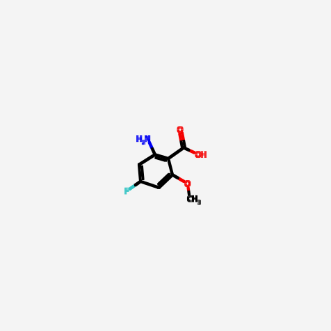 COc1cc(F)cc(N)c1C(=O)O